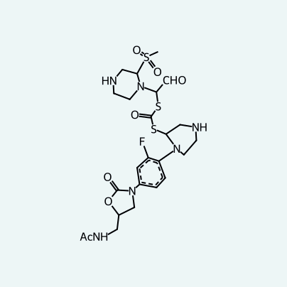 CC(=O)NCC1CN(c2ccc(N3CCNCC3SC(=O)SC(C=O)N3CCNCC3S(C)(=O)=O)c(F)c2)C(=O)O1